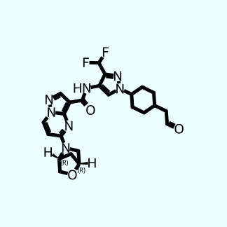 O=CCC1CCC(n2cc(NC(=O)c3cnn4ccc(N5C[C@H]6C[C@@H]5CO6)nc34)c(C(F)F)n2)CC1